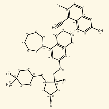 C#Cc1c(F)ccc2cc(O)cc([C@H]3COc4c(nc(OC[C@]5(C(C)C)C[C@@H](F)CN5CC5CCC(C)(O)CC5)nc4N4CCCCCC4)C3)c12